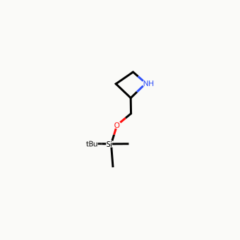 CC(C)(C)[Si](C)(C)OCC1CCN1